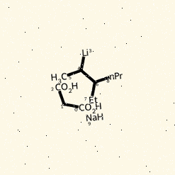 O=C(O)CC(=O)O.[Li][CH](C)C(CC)CCC.[NaH]